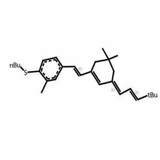 CCCCSc1ccc(/C=C/C2=CC(=C/C=C/C(C)(C)C)/CC(C)(C)C2)cc1C